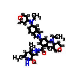 CCN(c1ccc2cn(-c3cc(C(=O)NCc4c(C)cc(C)[nH]c4=O)c(C)c(N(CC)C4CCOCC4)c3)cc2c1)C1CCOCC1